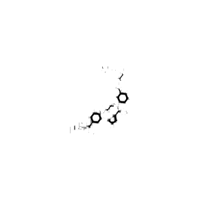 COCCOCc1cccc(N(CCOc2ccc(C(=O)NO)cc2)C(=O)c2ccco2)c1